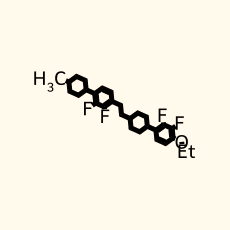 CCOc1ccc(C2CCC(CCc3ccc(C4CCC(C)CC4)c(F)c3F)CC2)c(F)c1F